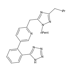 CCCCCn1nc(CC(C)C)nc1Cc1ccc(-c2ccccc2-c2nnn[nH]2)cn1